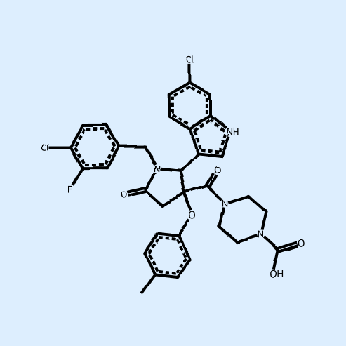 Cc1ccc(OC2(C(=O)N3CCN(C(=O)O)CC3)CC(=O)N(Cc3ccc(Cl)c(F)c3)C2c2c[nH]c3cc(Cl)ccc23)cc1